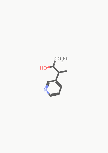 CCOC(=O)C(O)C(C)c1cccnc1